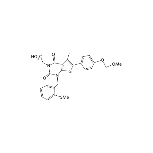 COCOc1ccc(-c2sc3c(c2C)c(=O)n(CC(=O)O)c(=O)n3Cc2ccccc2SC)cc1